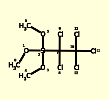 CO[Si](OC)(OC)C(Cl)(Cl)C(Cl)(Cl)Cl